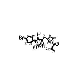 NC(=O)N(NC(=O)C[C@H]1CCN(C(=O)C2CC2)C1)c1ccc(Br)cc1